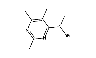 Cc1nc(C)c(C)c(N(C)C(C)C)n1